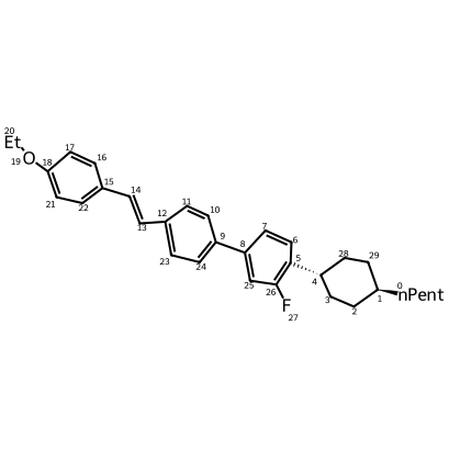 CCCCC[C@H]1CC[C@H](c2ccc(-c3ccc(/C=C/c4ccc(OCC)cc4)cc3)cc2F)CC1